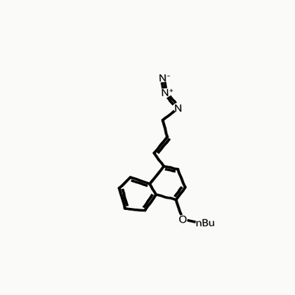 CCCCOc1ccc(/C=C/CN=[N+]=[N-])c2ccccc12